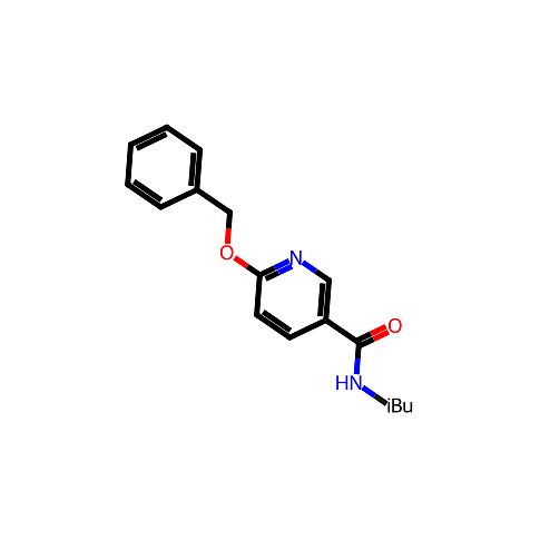 CCC(C)NC(=O)c1ccc(OCc2ccccc2)nc1